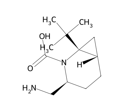 CC(C)(C)[C@@]12C[C@@H]1CC[C@@H](CN)N2C(=O)O